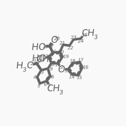 C=C(C)C1CCC(C)=CC1c1c(Oc2ccccc2)cc(CCCCC)c(C(=O)O)c1O